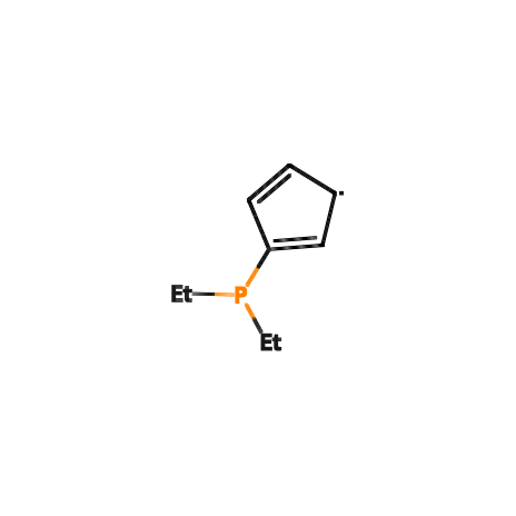 CCP(CC)C1=C[CH]C=C1